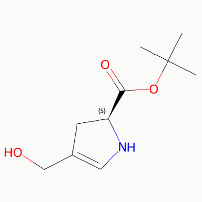 CC(C)(C)OC(=O)[C@@H]1CC(CO)=CN1